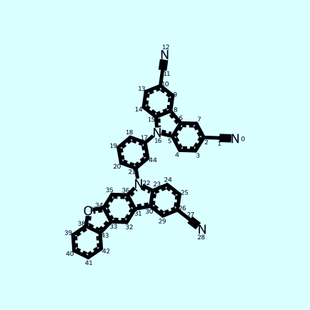 N#Cc1ccc2c(c1)c1cc(C#N)ccc1n2-c1cccc(-n2c3ccc(C#N)cc3c3cc4c(cc32)oc2ccccc24)c1